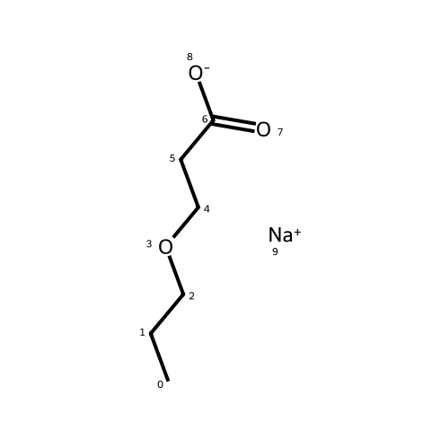 CCCOCCC(=O)[O-].[Na+]